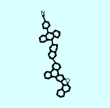 N#Cc1ccc(-c2c3ccccc3c(-c3ccc4cc(-c5ccc6c(c5)c5ccccc5c5cc7c(cc65)oc5ccc6ccccc6c57)ccc4c3)c3ccccc23)cc1